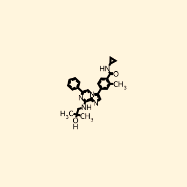 Cc1cc(-c2cnc3c(NCC(C)(C)O)nc(-c4ccccc4)cn23)ccc1C(=O)NC1CC1